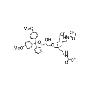 COc1ccc(C(OCC(O)COCC(CCCNC(=O)C(F)(F)F)(CCCNC(=O)C(F)(F)F)CCCC(F)(F)F)(c2ccccc2)c2ccc(OC)cc2)cc1